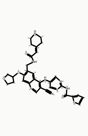 N#Cc1cnc2cc(OC3CCOC3)c(CNC(=O)C=C3CCNCC3)cc2c1Nc1cnc(NC(=O)c2ccco2)nc1